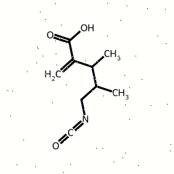 C=C(C(=O)O)C(C)C(C)CN=C=O